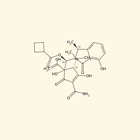 C=C(O)I1(O)([C@@H](OC(=O)C2CCC2)I2C(=O)c3c(O)cccc3[C@@H]2C)C(=O)C(C(N)=O)=C(O)[C@H]1N(C)C